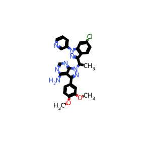 COc1ccc(-c2nn(C(C)c3nn(-c4cccnc4)c4cc(Cl)ccc34)c3ncnc(N)c23)cc1OC